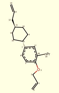 C=CCOc1ccc([C@H]2CC[C@H](CC=C)CC2)cc1CCC